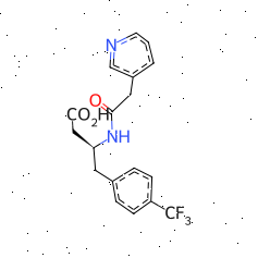 O=C(O)C[C@H](Cc1ccc(C(F)(F)F)cc1)NC(=O)Cc1cccnc1